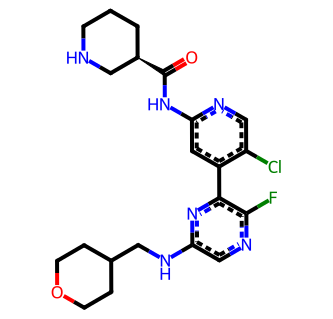 O=C(Nc1cc(-c2nc(NCC3CCOCC3)cnc2F)c(Cl)cn1)[C@@H]1CCCNC1